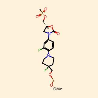 COOSOCC1(F)CCN(c2ccc(N3C[C@H](COS(C)(=O)=O)OC3=O)cc2F)CC1